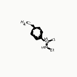 CCN[SiH](Cl)c1ccc(C)cc1